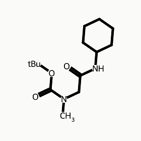 CN(CC(=O)NC1CCCCC1)C(=O)OC(C)(C)C